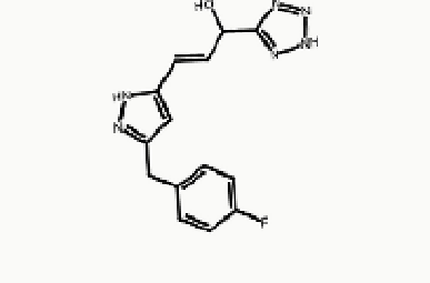 OC(C=Cc1cc(Cc2ccc(F)cc2)n[nH]1)c1nn[nH]n1